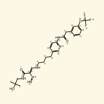 CC(C)(O)CNC(=O)/C(=C/NCCCCc1ccc(NC(=O)Cc2cccc(OC(F)(F)F)c2)nn1)N=N